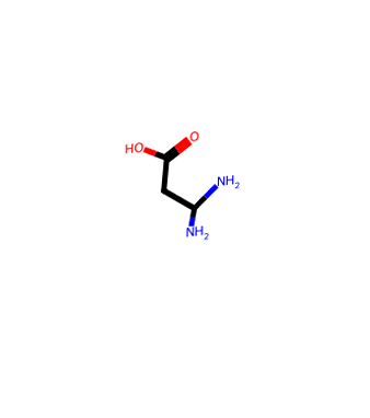 NC(N)CC(=O)O